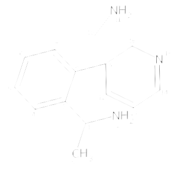 CC(N)c1ccccc1[C@]1(CN)C=CC=NC1